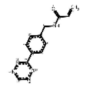 C=CC(=O)NCc1ccc(-c2nncnn2)cc1